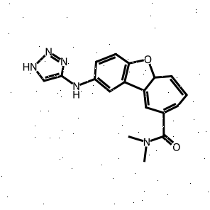 CN(C)C(=O)C1=CC=CC2Oc3ccc(Nc4c[nH]nn4)cc3C2=C1